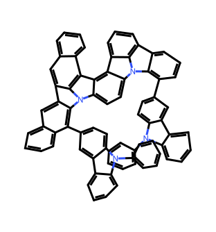 c1ccc(-n2c3ccccc3c3cc(-c4cccc5c6cccc7c8c9c%10c%11ccccc%11cc%11c%12cc%13ccccc%13c(-c%13ccc%14c(c%13)c%13ccccc%13n%14-c%13ccccc%13)c%12n(c9ccc8n(c45)c67)c%11%10)ccc32)cc1